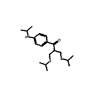 CC(C)Nc1ccc(C(=O)C(CSC(C)C)CSC(C)C)cc1